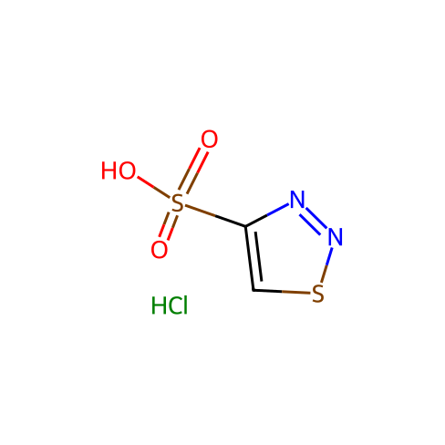 Cl.O=S(=O)(O)c1csnn1